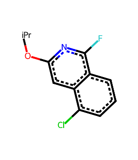 CC(C)Oc1cc2c(Cl)cccc2c(F)n1